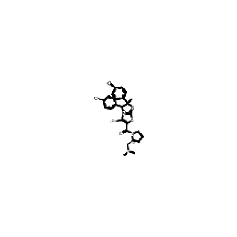 CC(C)C1=C(C(=O)N2CCC[C@H]2CN(C)C)SC2=NC(C)(c3ccc(Cl)cc3)C(c3ccc(Cl)cc3)N21